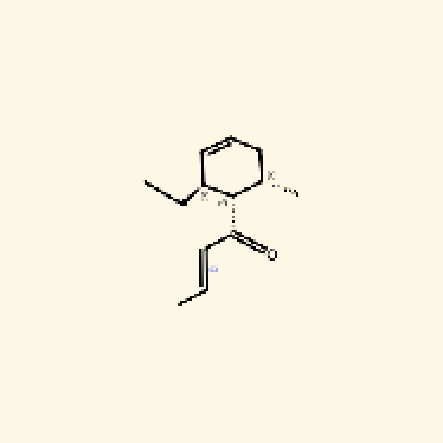 C/C=C/C(=O)[C@@H]1[C@@H](CC)C=CC[C@@H]1C